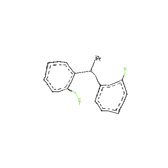 CC(C)C(c1ccccc1F)c1ccccc1F